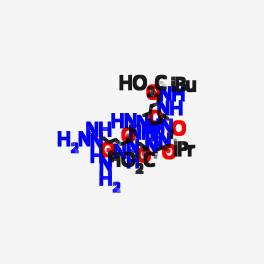 CC[C@H](C)[C@H](NC(=O)[C@H](CCCNC(=N)N)NC(=O)CNC(=O)[C@H](CC(C)C)NC(=O)[C@H](CC(=O)O)NC(=O)CNC(=O)[C@H](CCCNC(=N)N)NC(=O)CN)C(=O)O